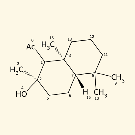 CC(=O)C1[C@](C)(O)CC[C@H]2C(C)(C)CCC[C@]12C